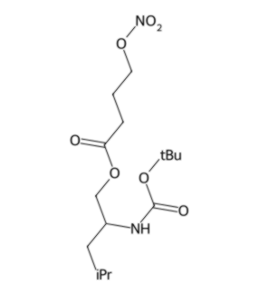 CC(C)CC(COC(=O)CCCO[N+](=O)[O-])NC(=O)OC(C)(C)C